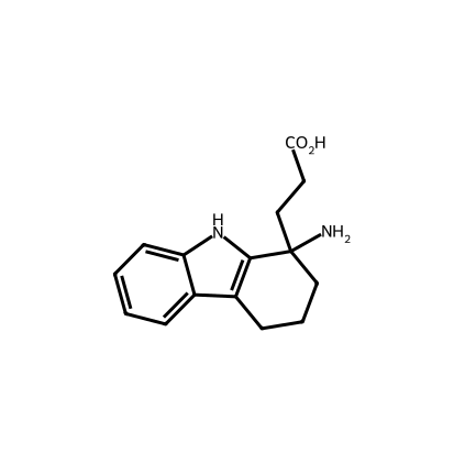 NC1(CCC(=O)O)CCCc2c1[nH]c1ccccc21